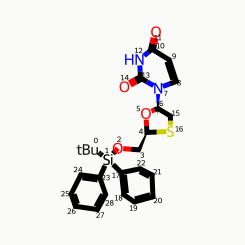 CC(C)(C)[Si](OC[C@H]1O[C@@H](n2ccc(=O)[nH]c2=O)CS1)(c1ccccc1)c1ccccc1